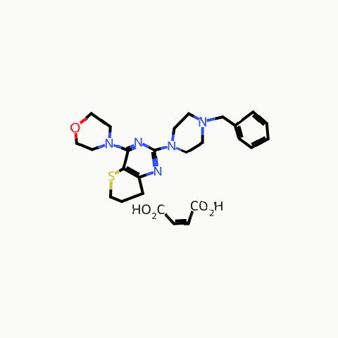 O=C(O)/C=C\C(=O)O.c1ccc(CN2CCN(c3nc4c(c(N5CCOCC5)n3)SCCC4)CC2)cc1